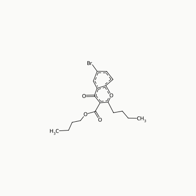 CCCCOC(=O)c1c(CCCC)oc2ccc(Br)cc2c1=O